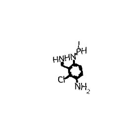 N=Cc1c(NPI)ccc(N)c1Cl